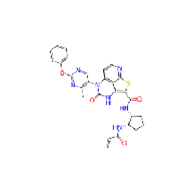 C=CC(=O)N[C@H]1CCC[C@H]1NC(=O)c1sc2nccc3c2c1NC(=O)N3c1cnc(Oc2ccccc2)nc1C